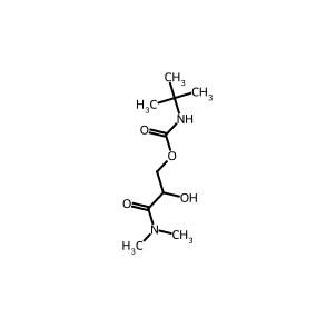 CN(C)C(=O)C(O)COC(=O)NC(C)(C)C